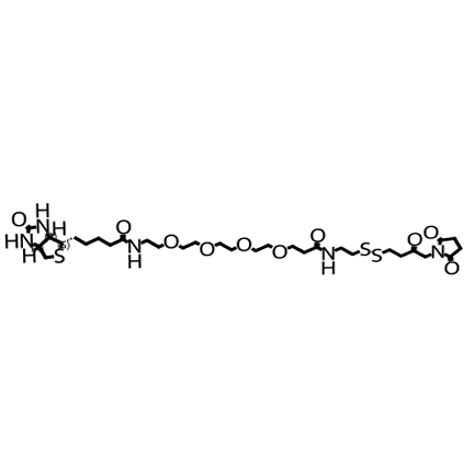 O=C(CCSSCCNC(=O)CCOCCOCCOCCOCCNC(=O)CCCC[C@@H]1SC[C@@H]2NC(=O)N[C@@H]21)CN1C(=O)CCC1=O